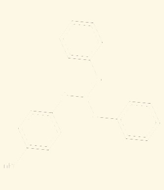 CCCc1ccc(OP(Oc2ccccc2)Oc2ccccc2)cc1